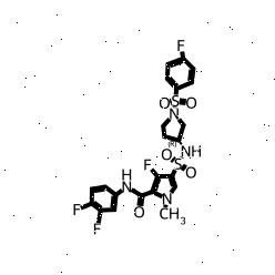 Cn1cc(S(=O)(=O)N[C@@H]2CCN(S(=O)(=O)c3ccc(F)cc3)C2)c(F)c1C(=O)Nc1ccc(F)c(F)c1